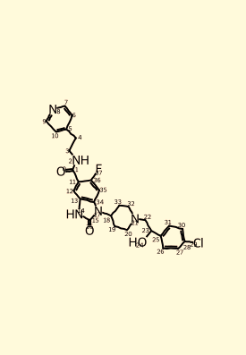 O=C(NCCc1ccncc1)c1cc2[nH]c(=O)n(C3CCN(CC(O)c4ccc(Cl)cc4)CC3)c2cc1F